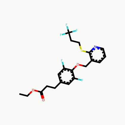 CCOC(=O)CCc1cc(F)c(OCc2cccnc2SCCC(F)(F)F)c(F)c1